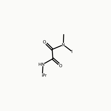 CC(C)NC(=O)C(=O)N(C)I